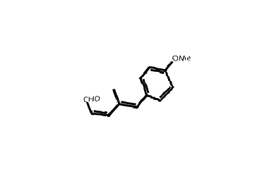 COc1ccc(/C=C(C)/C=C\C=O)cc1